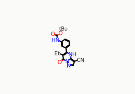 CCc1c(-c2cccc(NC(=O)OC(C)(C)C)c2)[nH]c2c(C#N)cnn2c1=O